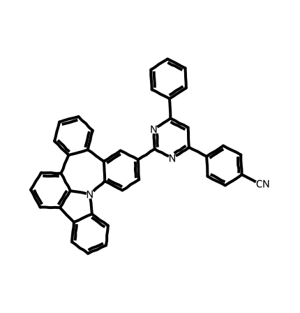 N#Cc1ccc(-c2cc(-c3ccccc3)nc(-c3ccc4c(c3)-c3ccccc3-c3cccc5c6ccccc6n-4c35)n2)cc1